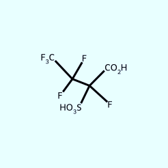 O=C(O)C(F)(C(F)(F)C(F)(F)F)S(=O)(=O)O